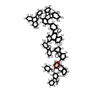 CC1(C)c2ccccc2-c2cc(N(c3ccccc3)c3ccc(-c4cccc5c4oc4c(-c6cccc7c6oc6c(-c8ccc9c(c8)c8ccccc8c8oc%10ccc(-c%11ccc(-n%12c%13ccccc%13c%13c%14ccccc%14c%14ccccc%14c%13%12)c%12c%11C%11c%13ccccc%13C%11%13c%11ccccc%11C%12%13)cc%10c98)cccc67)cccc45)c4c3C3c5ccccc5C4c4ccccc43)ccc21